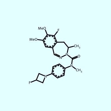 COc1cc2c(c(F)c1OC)CC(C)N(C(=O)N(C)c1ccc(N3CC(F)C3)cc1)N=C2